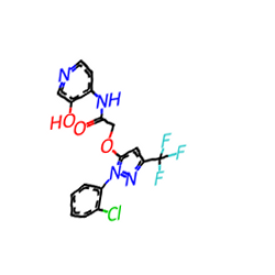 O=C(COc1cc(C(F)(F)F)nn1-c1ccccc1Cl)Nc1ccncc1O